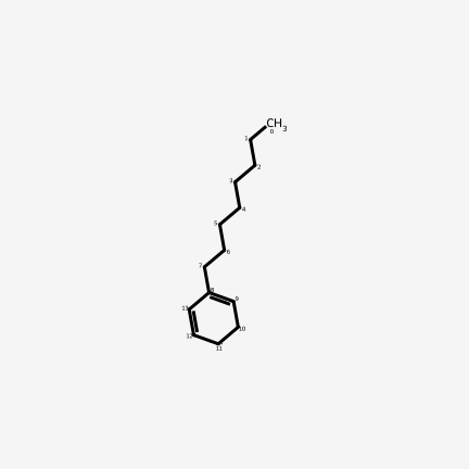 CCCCCCCCC1=CC[CH]C=C1